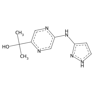 CC(C)(O)c1cnc(Nc2cc[nH]n2)cn1